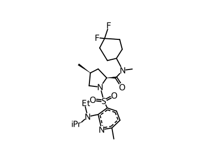 CCN(c1nc(C)ccc1S(=O)(=O)N1C[C@@H](C)C[C@H]1C(=O)N(C)C1CCC(F)(F)CC1)C(C)C